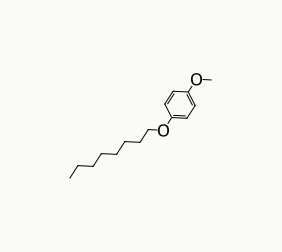 CCCCCCCCOc1ccc(OC)cc1